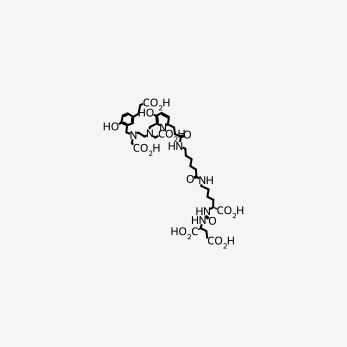 O=C(O)CCc1ccc(O)c(CN(CCN(CC(=O)O)Cc2nc(CCC(=O)NCCCCCC(=O)NCCCC[C@H](NC(=O)N[C@@H](CCC(=O)O)C(=O)O)C(=O)O)ccc2O)CC(=O)O)c1